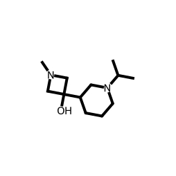 CC(C)N1CCCC(C2(O)CN(C)C2)C1